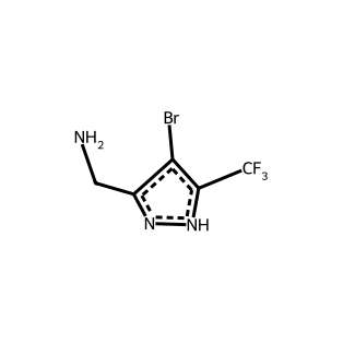 NCc1n[nH]c(C(F)(F)F)c1Br